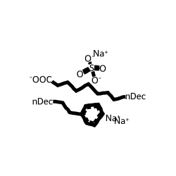 CCCCCCCCCCCCCCCCCC(=O)[O-].CCCCCCCCCCCCc1ccccc1.O=S(=O)([O-])[O-].[Na+].[Na+].[Na+]